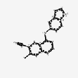 Cc1cc2nccc(Oc3ccc4[nH]ccc4c3)c2cc1C#N